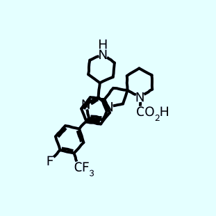 O=C(O)N1CCCCC1(Cc1ccccc1)Cn1cc(-c2ccc(F)c(C(F)(F)F)c2)nc1C1CCNCC1